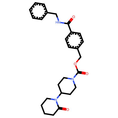 O=C(NCc1ccccc1)c1ccc(COC(=O)N2CCC(N3CCCCC3=O)CC2)cc1